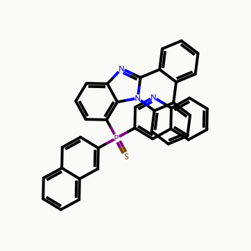 S=P(c1ccc2ccccc2c1)(c1cnc2ccccc2c1)c1cccc2nc3c4ccccc4c4ccccc4n3c12